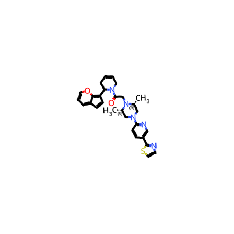 C[C@@H]1CN(c2ccc(-c3nccs3)cn2)C[C@H](C)N1CC(=O)N1CC=CCC1c1ccc2cccoc1-2